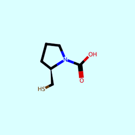 O=C(O)N1CCC[C@@H]1CS